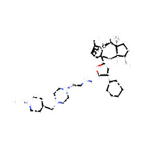 CC(C)C1=CC2CC3(C=O)[C@@H]4CC[C@@H](C)[C@H]4CC2([C@H]2C[C@@H](C4CCCCC4)[C@H](CNCCN4CCN(CC5CCN(C)CC5)CC4)O2)[C@]13C(=O)O